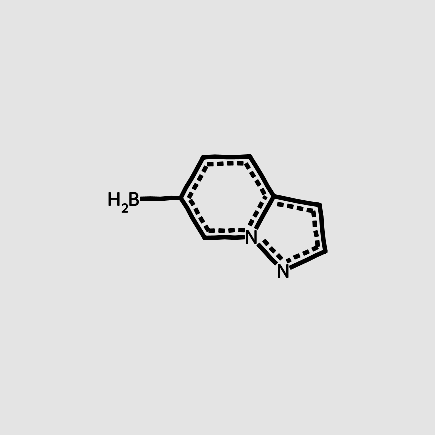 Bc1ccc2ccnn2c1